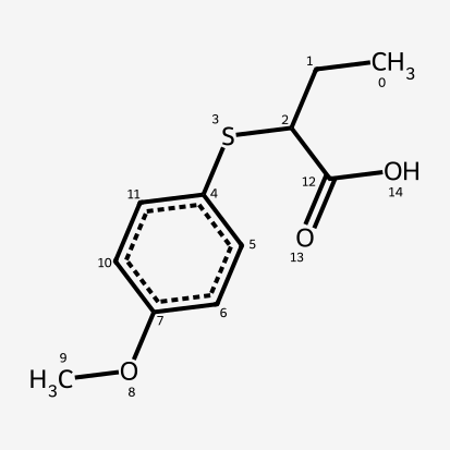 CCC(Sc1ccc(OC)cc1)C(=O)O